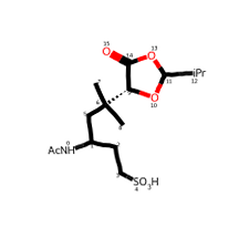 CC(=O)NC(CCS(=O)(=O)O)CC(C)(C)[C@H]1OC(C(C)C)OC1=O